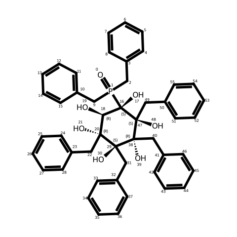 O=P(Cc1ccccc1)(Cc1ccccc1)[C@@]1(O)[C@H](O)[C@](O)(Cc2ccccc2)[C@@](O)(Cc2ccccc2)[C@](O)(Cc2ccccc2)[C@@]1(O)Cc1ccccc1